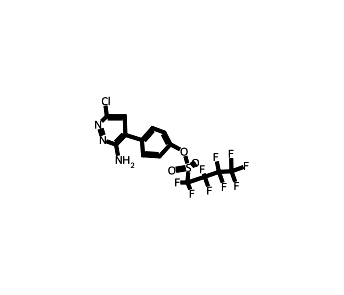 Nc1nnc(Cl)cc1-c1ccc(OS(=O)(=O)C(F)(F)C(F)(F)C(F)(F)C(F)(F)F)cc1